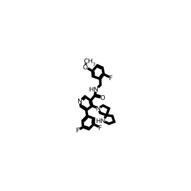 COc1ccc(F)c(CNC(=O)c2cncc(-c3cc(F)cc(F)c3)c2N2CCC3(CCCN3)C2)c1